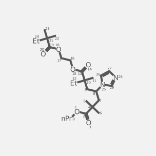 CCCOC(=O)C(C)(C)CC(CC(C)(CC)C(=O)OCCOC(=O)C(C)(C)CC)n1ccnc1